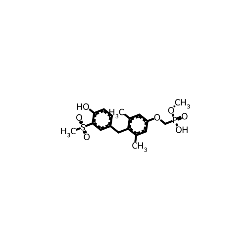 COP(=O)(O)COc1cc(C)c(Cc2ccc(O)c(S(C)(=O)=O)c2)c(C)c1